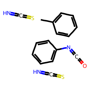 Cc1ccccc1.N=C=S.N=C=S.O=C=Nc1ccccc1